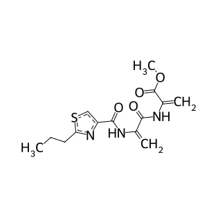 C=C(NC(=O)c1csc(CCC)n1)C(=O)NC(=C)C(=O)OC